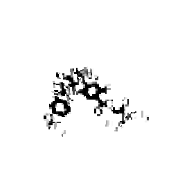 CN(C)C(=O)COC(=O)c1cc2c(cc1F)N(C)C(Nc1nc3ccc(OC(F)(F)F)cc3s1)(C(N)=O)N2